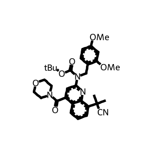 COc1ccc(CN(C(=O)OC(C)(C)C)c2cc(C(=O)N3CCOCC3)c3cccc(C(C)(C)C#N)c3n2)c(OC)c1